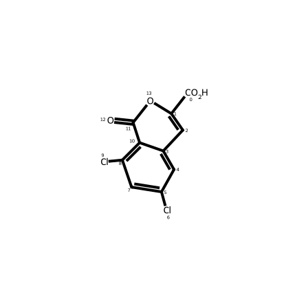 O=C(O)c1cc2cc(Cl)cc(Cl)c2c(=O)o1